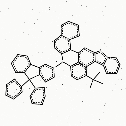 CC(C)(C)c1ccc(N(c2ccc3c(c2)-c2ccccc2C3(c2ccccc2)c2ccccc2)c2ccc3ccccc3c2-c2ccc3c(c2)sc2ccccc23)cc1